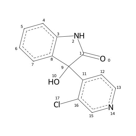 O=C1Nc2ccccc2C1(O)c1ccncc1Cl